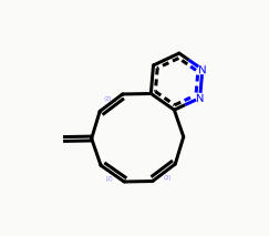 C=C1/C=C\C=C/Cc2nnccc2/C=C\1